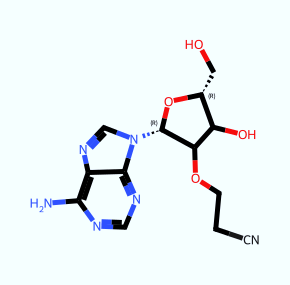 N#CCCOC1C(O)[C@@H](CO)O[C@H]1n1cnc2c(N)ncnc21